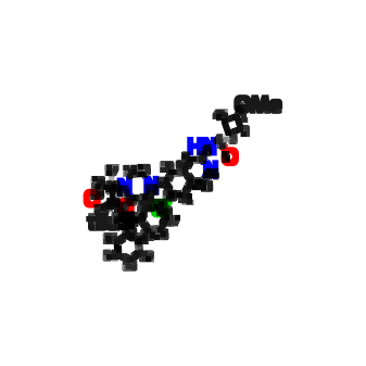 CO[C@H]1C[C@H](C(=O)Nc2cc3cc(N4CCN([C@]5(C)COC[C@@H]5O[Si](c5ccccc5)(c5ccccc5)C(C)(C)C)CC4)c(Cl)cc3cn2)C1